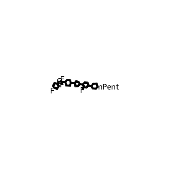 CCCCCC1CCC(c2ccc(-c3ccc(C4CCC(C(F)(F)Oc5ccc(F)cc5)CC4)cc3)c(F)c2)CC1